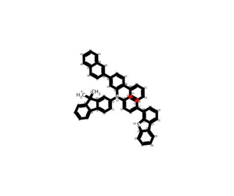 CC1(C)c2ccccc2-c2ccc(N(c3ccc(-c4cccc5c4sc4ccccc45)cc3)c3cc(-c4ccc5ccccc5c4)ccc3-c3ccccc3)cc21